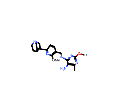 CCOc1nc(C)c(N)c(NCc2ccc(C3CN4CCC3CC4)nc2OC)n1